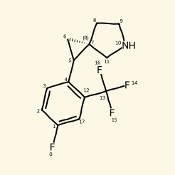 Fc1ccc(C2C[C@@]23CCNC3)c(C(F)(F)F)c1